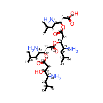 CC(C)C[C@H](N)[C@H](CC(=O)O)OC(=O)C[C@H](OC(=O)C[C@H](OC(=O)C[C@H](O)[C@@H](N)CC(C)C)[C@@H](N)CC(C)C)[C@@H](N)CC(C)C